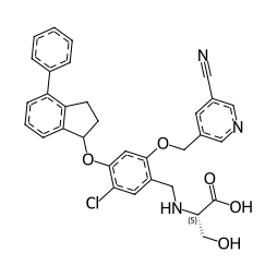 N#Cc1cncc(COc2cc(OC3CCc4c(-c5ccccc5)cccc43)c(Cl)cc2CN[C@@H](CO)C(=O)O)c1